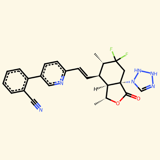 C[C@H]1OC(=O)[C@]2(N3C=NNN3)CC(F)(F)[C@@H](C)[C@H](/C=C/c3ccc(-c4ccccc4C#N)cn3)[C@H]12